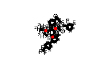 [2H]C([2H])([2H])OC([2H])([2H])CN1C([2H])([2H])C([2H])([2H])C([2H])(N(Cc2ccc(-c3ccc(C(F)(F)F)cc3)cc2)C(=O)C([2H])([2H])n2c(SCc3cccc(F)c3F)cc(=O)c3ccccc32)C([2H])([2H])C1([2H])[2H]